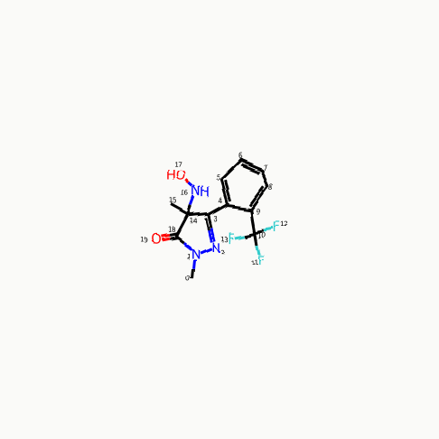 CN1N=C(c2ccccc2C(F)(F)F)C(C)(NO)C1=O